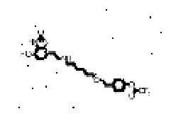 O=C(Oc1ccc(CCOCCCCCCNCCc2ccc(O)c3[nH]c(=O)sc23)cc1)C(F)(F)F